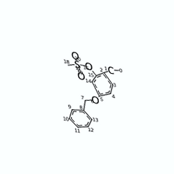 CCc1ccc(OCc2ccccc2)cc1OS(C)(=O)=O